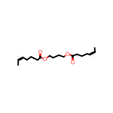 C/C=C\CCCC(=O)OCCCCOC(=O)CCC/C=C\C